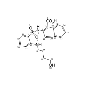 O=C(O)c1c(NS(=O)(=O)c2ccccc2NCCCCO)ccc2ccccc12